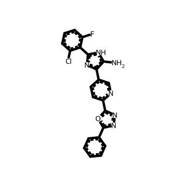 Nc1[nH]c(-c2c(F)cccc2Cl)nc1-c1ccc(-c2nnc(-c3ccccc3)o2)nc1